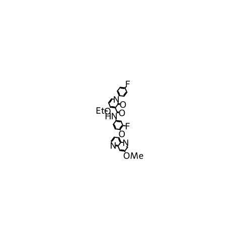 CCOc1ccn(-c2ccc(F)cc2)c(=O)c1C(=O)Nc1ccc(Oc2ccnc3cc(OC)cnc23)c(F)c1